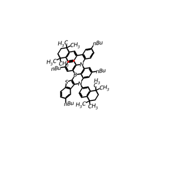 CCCCc1ccc2c(c1)B1c3sc4ccc(CCCC)cc4c3N(c3ccc4c(c3)C(C)(C)CCC4(C)C)c3cc(CCCC)cc(c31)N2c1ccc(CCCC)cc1-c1ccc2c(c1)C(C)(C)CCC2(C)C